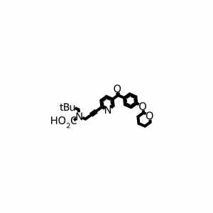 CC(C)(C)CN(CC#Cc1ccc(C(=O)c2ccc(OC3CCCCO3)cc2)cn1)C(=O)O